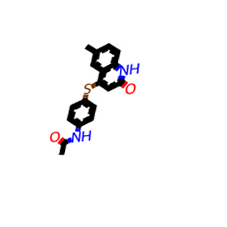 CC(=O)Nc1ccc(Sc2cc(=O)[nH]c3ccc(C)cc23)cc1